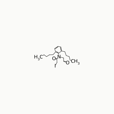 CCCCCc1cccc(CCCCC)c1N(CC=O)C(=O)CI